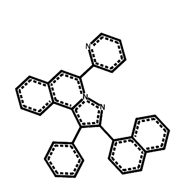 c1ccc(-c2c(-c3cccc4ccccc34)nn3c(-c4ccccn4)cc4ccccc4c23)cc1